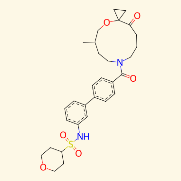 CC1CCN(C(=O)c2ccc(-c3cccc(NS(=O)(=O)C4CCOCC4)c3)cc2)CCCC(=O)C2(CC2)OC1